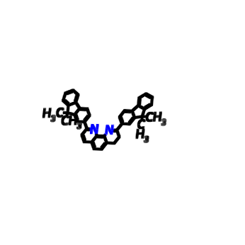 CC1(C)c2ccccc2-c2ccc(C3=Nc4c(ccc5ccc(-c6ccc7c(c6)C(C)(C)c6ccccc6-7)nc45)CC3)cc21